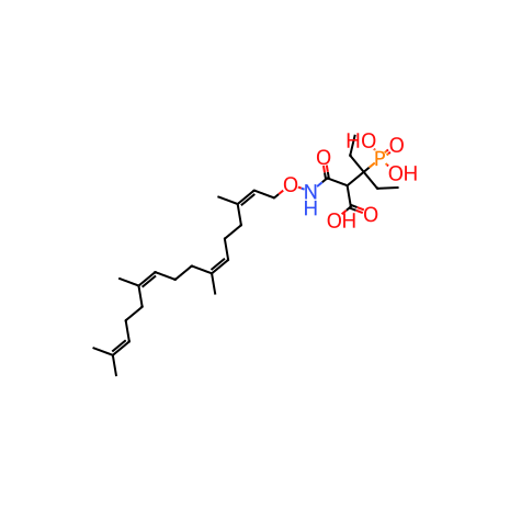 CCC(CC)(C(C(=O)O)C(=O)NOCC=C(C)CCC=C(C)CCC=C(C)CCC=C(C)C)P(=O)(O)O